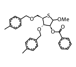 COC1S[C@H](COCc2ccc(C)cc2)[C@@H](OCc2ccc(C)cc2)[C@@H]1OC(=O)c1ccccc1